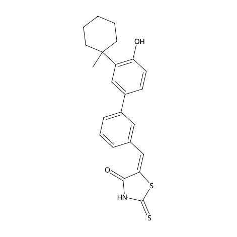 CC1(c2cc(-c3cccc(/C=C4/SC(=S)NC4=O)c3)ccc2O)CCCCC1